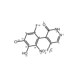 O=c1[nH]ncc(C(F)(F)F)c1-c1c(F)cc(Cl)c(O)c1[N+](=O)[O-]